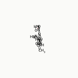 C[C@H]1CC[C@@H](CNc2ncc(S(=O)(=O)NC(=O)c3ccc(N4CCC5(CC4)CC(N4CCS(=N)(=O)C[C@H]4c4ccccc4C4CC4)C5)cc3Oc3cnc4[nH]ccc4c3)cc2[N+](=O)[O-])CC1